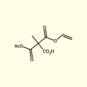 C=COC(=O)C(C)(C(=O)O)C(=O)OC(C)=O